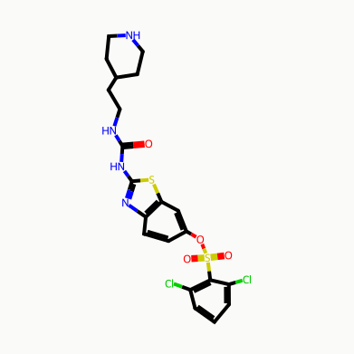 O=C(NCCC1CCNCC1)Nc1nc2ccc(OS(=O)(=O)c3c(Cl)cccc3Cl)cc2s1